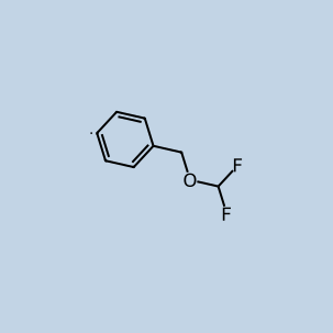 FC(F)OCc1cc[c]cc1